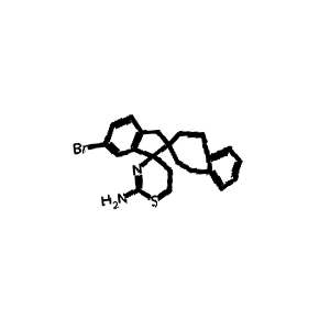 NC1=NC2(CCS1)c1cc(Br)ccc1CC21CCc2ccccc2CC1